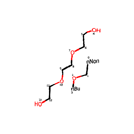 CCCCCCCCCCOCCCC.OCCOCCOCCO